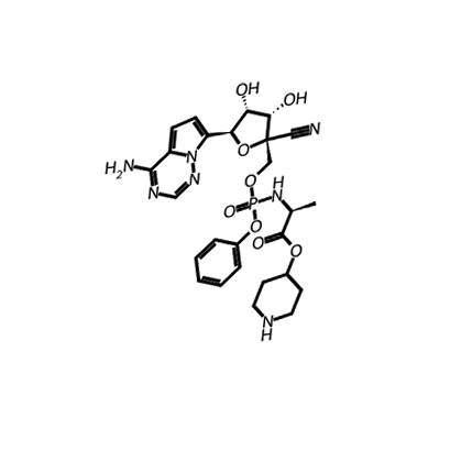 C[C@H](NP(=O)(OC[C@@]1(C#N)O[C@@H](c2ccc3c(N)ncnn23)[C@H](O)[C@@H]1O)Oc1ccccc1)C(=O)OC1CCNCC1